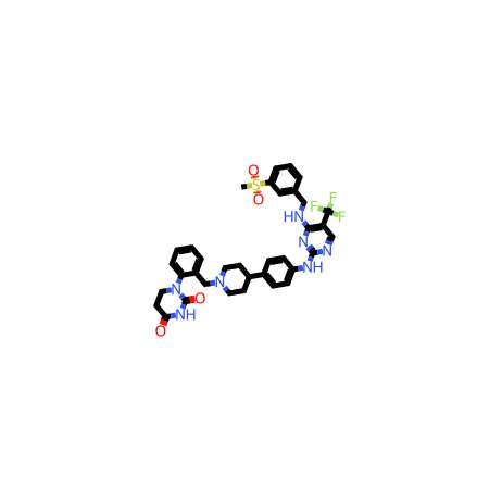 CS(=O)(=O)c1cccc(CNc2nc(Nc3ccc(C4CCN(Cc5ccccc5N5CCC(=O)NC5=O)CC4)cc3)ncc2C(F)(F)F)c1